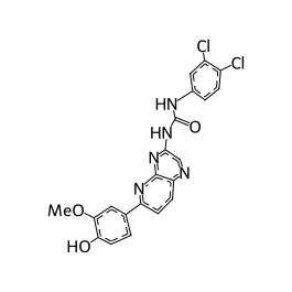 COc1cc(-c2ccc3ncc(NC(=O)Nc4ccc(Cl)c(Cl)c4)nc3n2)ccc1O